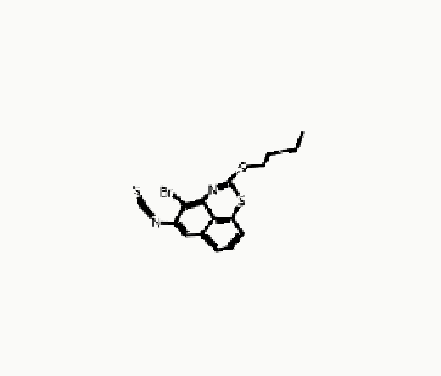 CCCCSC1=Nc2c(Br)c(N=C=S)cc3cccc(c23)S1